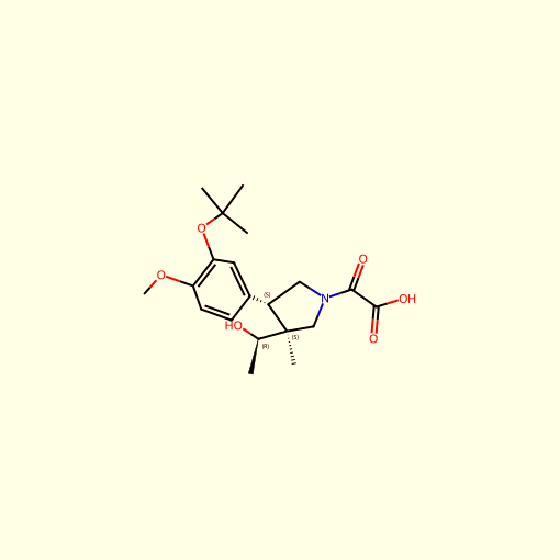 COc1ccc([C@@H]2CN(C(=O)C(=O)O)C[C@@]2(C)[C@@H](C)O)cc1OC(C)(C)C